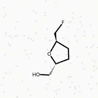 OC[C@H]1CC[C@H](CF)O1